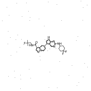 CC(C)(F)CNC(=O)c1cnn2ccc(-c3c[nH]c4nc(NC5CCC(F)(F)CC5)ncc34)cc12